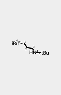 CC[C@@H](C)CCCNC(C)(C)C